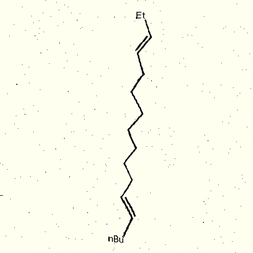 [CH2]CC=CCCCCCCCC=CCCCC